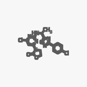 C[C@H](Nc1nc(Cl)cc(N2CCOC2=O)n1)c1nc(-c2ccc(Cl)cc2)no1